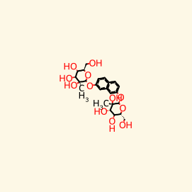 C[C@@]1(O)[C@@H](Oc2ccc3ccc(O[C@H]4O[C@H](CO)[C@@H](O)[C@H](O)[C@]4(C)O)cc3c2)O[C@H](CO)[C@@H](O)[C@@H]1O